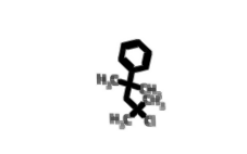 CC(C)(Cl)CC(C)(C)c1ccccc1